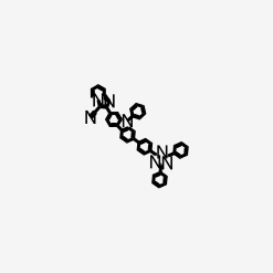 N#Cc1c(-c2ccc3c4ccc(-c5ccc(-c6nc(-c7ccccc7)nc(-c7ccccc7)n6)cc5)cc4n(-c4ccccc4)c3c2)nc2ccccn12